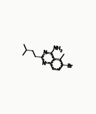 Cc1c(Br)ccc2nc(CCC(C)C)nc(N)c12